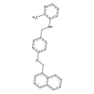 Cc1ncccc1NCc1ccc(OCc2cccc3ccccc23)cc1